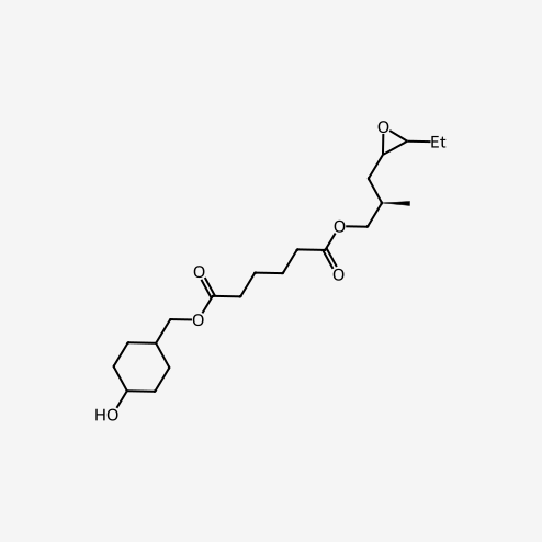 CCC1OC1C[C@@H](C)COC(=O)CCCCC(=O)OCC1CCC(O)CC1